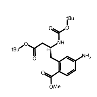 COC(=O)c1ccc(N)cc1C[C@@H](CC(=O)OC(C)(C)C)NC(=O)OC(C)(C)C